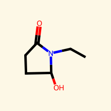 CCN1C(=O)CCC1O